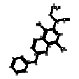 Cc1nc(N(C=O)CC(=O)O)c(O)c2ccc(Oc3ccccc3)nc12